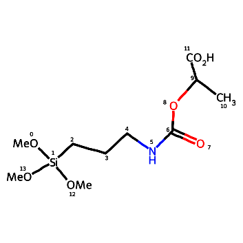 CO[Si](CCCNC(=O)OC(C)C(=O)O)(OC)OC